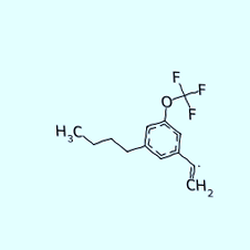 C=[C]c1cc(CCCC)cc(OC(F)(F)F)c1